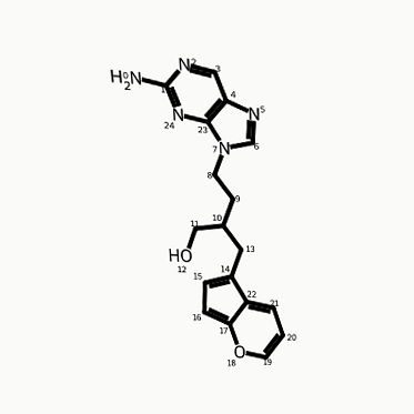 Nc1ncc2ncn(CCC(CO)Cc3ccc4occcc3-4)c2n1